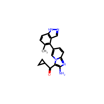 Cc1ccc2[nH]ncc2c1-c1ccc2nc(N)c(C(=O)C3CC3)n2c1